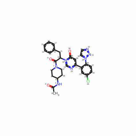 CC(=O)NC1CCN(C(=O)C(Cc2ccccc2)n2cnc(-c3cc(Cl)ccc3-n3ccnn3)cc2=O)CC1